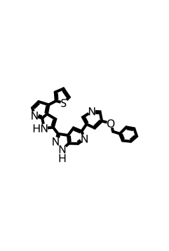 c1ccc(COc2cncc(-c3cc4c(-c5cc6c(-c7cccs7)ccnc6[nH]5)n[nH]c4cn3)c2)cc1